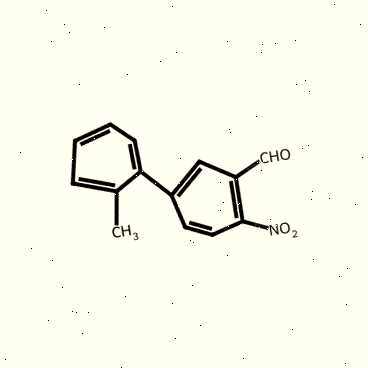 Cc1ccccc1-c1ccc([N+](=O)[O-])c(C=O)c1